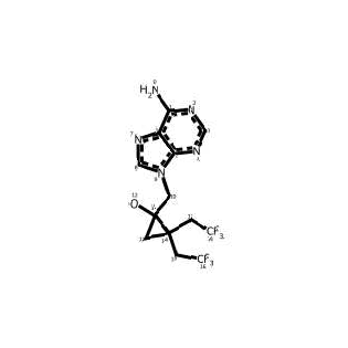 Nc1ncnc2c1ncn2CC1([O])CC1(CC(F)(F)F)CC(F)(F)F